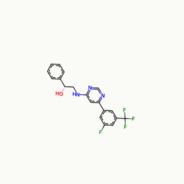 O[C@@H](CNc1cc(-c2cc(F)cc(C(F)(F)F)c2)ncn1)c1ccccc1